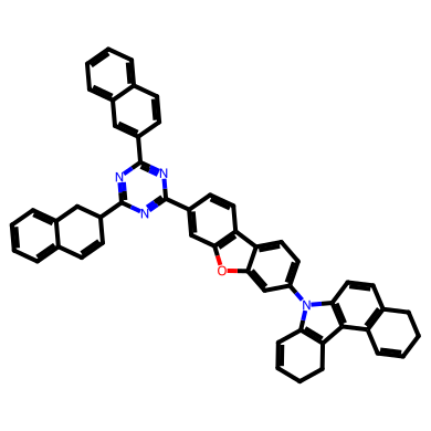 C1=Cc2c(ccc3c2c2c(n3-c3ccc4c(c3)oc3cc(-c5nc(-c6ccc7ccccc7c6)nc(C6C=Cc7ccccc7C6)n5)ccc34)C=CCC2)CC1